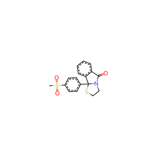 CS(=O)(=O)c1ccc(C23SCCN2C(=O)c2ccccc23)cc1